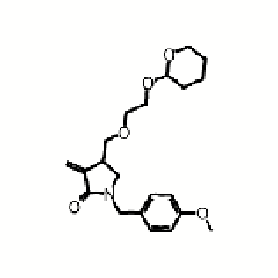 C=C1C(=O)N(Cc2ccc(OC)cc2)CC1COCCOC1CCCCO1